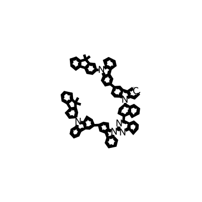 CC1(C)c2ccccc2-c2ccc(-n3c4ccccc4c4cc(-c5ccc6c(c5)c5ccccc5n6-c5nc(-c6ccc(-n7c8ccccc8c8cc(-c9ccc%10c(c9)c9ccccc9n%10-c9ccc%10c(c9)C(C)(C)c9ccccc9-%10)ccc87)c7ccccc67)c6ccccc6n5)ccc43)cc21